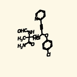 CC(C)(NC=O)C(N)=O.OC(C#Cc1ccccn1)Oc1ccc(Cl)cc1